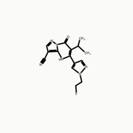 CC(C)c1c(-c2cnn(CCF)c2)[nH]c2c(C#N)cnn2c1=O